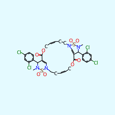 CN1C(c2ccc(Cl)cc2Cl)C2=CN(CCC=CCOC(=O)C3=CN(CCC=CCOC2=O)S(=O)(=O)N(C)C3c2ccc(Cl)cc2Cl)S1(=O)=O